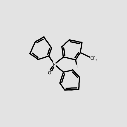 O=P(c1ccccc1)(c1ccccc1)c1cccc(C(F)(F)F)c1I